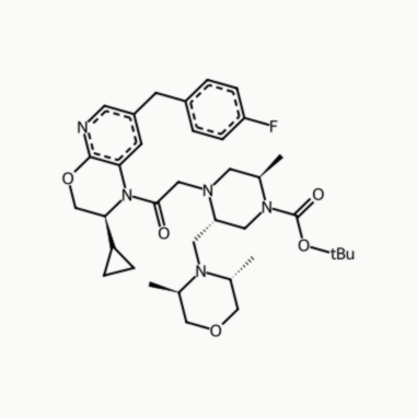 C[C@@H]1CN(CC(=O)N2c3cc(Cc4ccc(F)cc4)cnc3OC[C@@H]2C2CC2)[C@@H](CN2[C@H](C)COC[C@H]2C)CN1C(=O)OC(C)(C)C